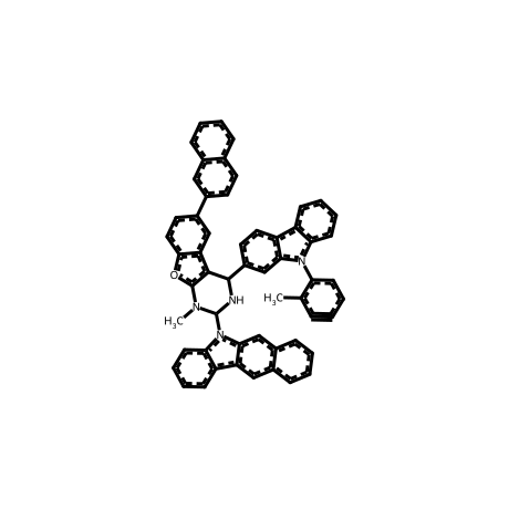 Cc1c#cccc1-n1c2ccccc2c2ccc(C3NC(n4c5ccccc5c5cc6ccccc6cc54)N(C)c4oc5ccc(-c6ccc7ccccc7c6)cc5c43)cc21